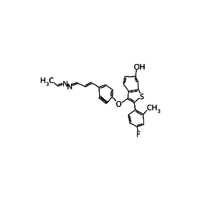 C/C=N/N=C/C=C/c1c#cc(Oc2c(-c3ccc(F)cc3C)sc3cc(O)ccc23)cc1